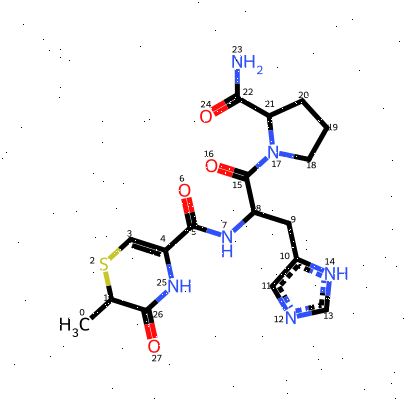 CC1SC=C(C(=O)NC(Cc2cnc[nH]2)C(=O)N2CCCC2C(N)=O)NC1=O